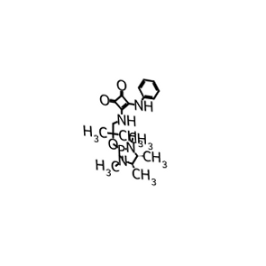 C[C@@H]1[C@@H](C)N(C)P(OC(C)(C)CNc2c(Nc3ccccc3)c(=O)c2=O)N1C